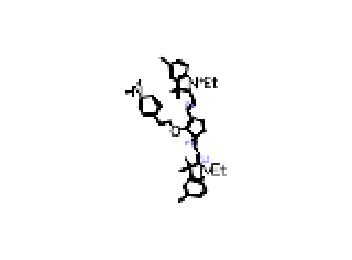 CCN1/C(=C/C=C2\CCC(/C=C/C3=[N+](CC)c4ccc(C)cc4C3(C)C)=C2OCCc2ccc(N(C)C)cc2)C(C)(C)c2cc(C)ccc21